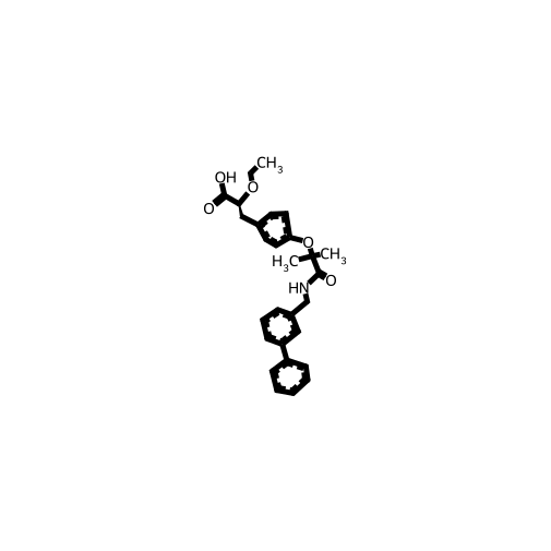 CCO[C@@H](Cc1ccc(OC(C)(C)C(=O)NCc2cccc(-c3ccccc3)c2)cc1)C(=O)O